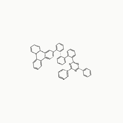 C1=CC2c3ccccc3-c3ccc(-c4ccccc4-c4ccccc4-c4ccccc4-c4nc(-c5ccccc5)nc(-c5ccccc5)n4)cc3C2C=C1